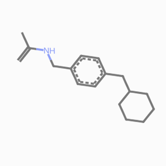 C=C(C)NCc1ccc(CC2CCCCC2)cc1